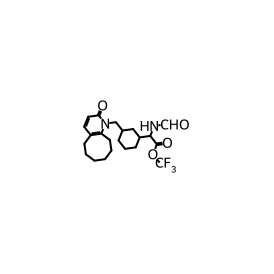 O=CNC(C(=O)OC(F)(F)F)C1CCCC(Cn2c3c(ccc2=O)CCCCCC3)C1